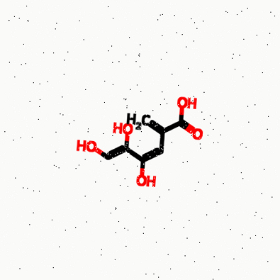 C=C(/C=C(O)\C(O)=C\O)C(=O)O